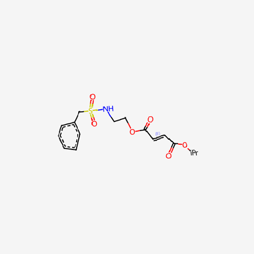 CC(C)OC(=O)/C=C/C(=O)OCCNS(=O)(=O)Cc1ccccc1